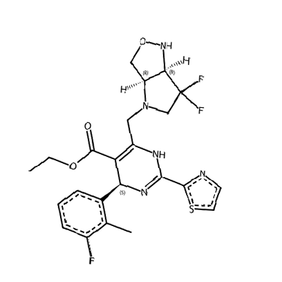 CCOC(=O)C1=C(CN2CC(F)(F)[C@@H]3NOC[C@@H]32)NC(c2nccs2)=N[C@H]1c1cccc(F)c1C